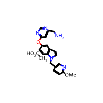 CC(=O)O.COc1ccc(Cn2ccc3cc(Oc4cc(CN)ncn4)ccc32)cn1